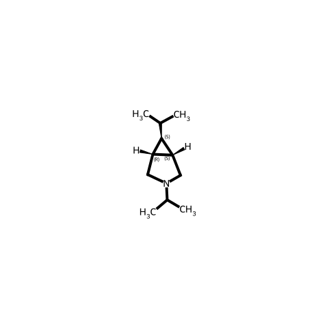 CC(C)[C@H]1[C@@H]2CN(C(C)C)C[C@@H]21